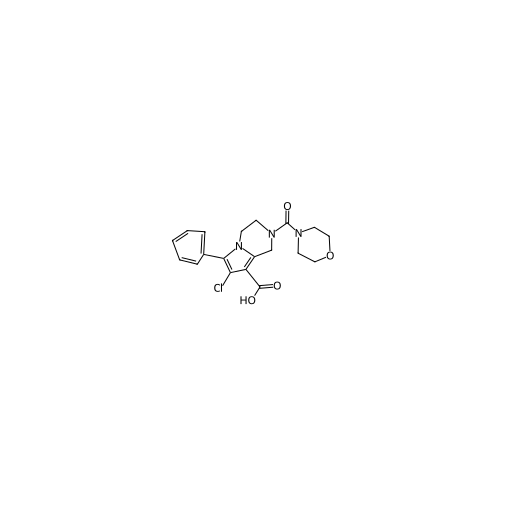 O=C(O)c1c(Cl)c(-c2ccccc2)n2c1CN(C(=O)N1CCOCC1)CC2